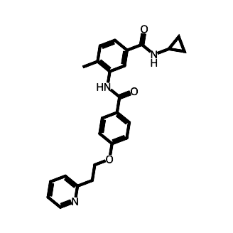 Cc1ccc(C(=O)NC2CC2)cc1NC(=O)c1ccc(OCCc2ccccn2)cc1